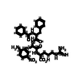 CC(C)C(NC(=O)C(Cc1ccccc1)NC(=O)c1ccccc1)C(=O)NC(CCCNC(=N)N)C(=O)O.Nc1ccc([N+](=O)[O-])cc1